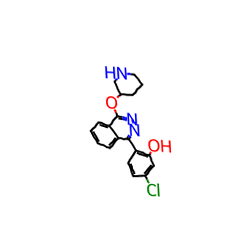 Oc1cc(Cl)ccc1-c1nnc(OC2CCCNC2)c2ccccc12